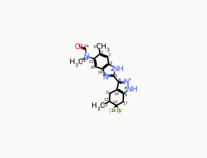 Cc1cc2[nH]c(-c3n[nH]c4c3CC(C)C(F)(F)C4)nc2cc1N(C)C=O